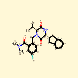 CCC(CC)[C@@H]1C(=O)N[C@H](C2Cc3ccccc3C2)C(=O)N1Cc1ccc(F)cc1C(=O)N(C)C